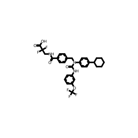 O=C(NCC(F)(F)C(=O)O)c1ccc(CN(C(=O)Nc2cccc(OC(F)(F)F)c2)c2ccc(C3CCCCC3)cc2)cc1